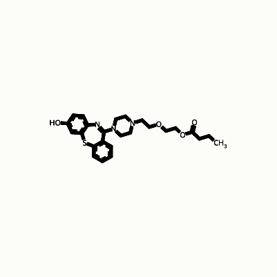 CCCC(=O)OCCOCCN1CCN(C2=Nc3ccc(O)cc3Sc3ccccc32)CC1